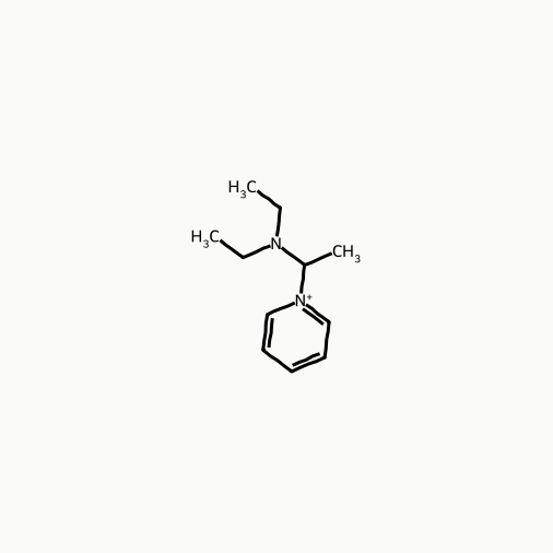 CCN(CC)C(C)[n+]1ccccc1